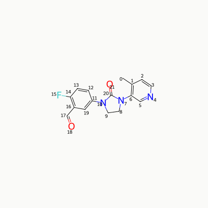 Cc1ccncc1N1CCN(c2ccc(F)c(C=O)c2)C1=O